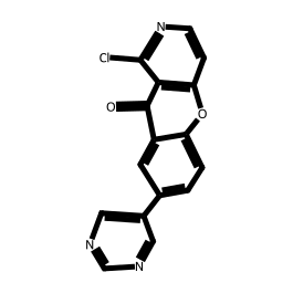 O=c1c2cc(-c3cncnc3)ccc2oc2ccnc(Cl)c12